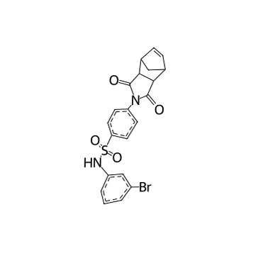 O=C1C2C3C=CC(C3)C2C(=O)N1c1ccc(S(=O)(=O)Nc2cccc(Br)c2)cc1